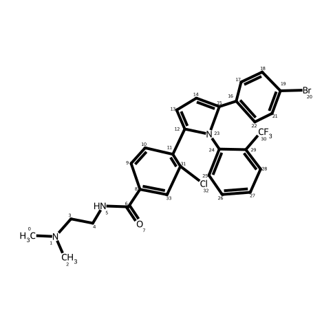 CN(C)CCNC(=O)c1ccc(-c2ccc(-c3ccc(Br)cc3)n2-c2ccccc2C(F)(F)F)c(Cl)c1